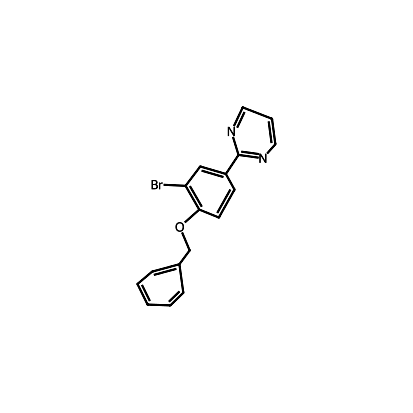 Brc1cc(-c2ncccn2)ccc1OCc1ccccc1